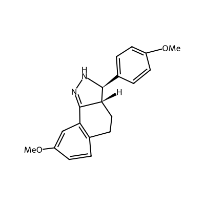 COc1ccc([C@@H]2NN=C3c4cc(OC)ccc4CC[C@H]32)cc1